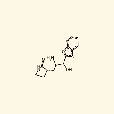 NC(C[C@@H]1CCNC1=O)C(O)c1nc2ccccc2o1